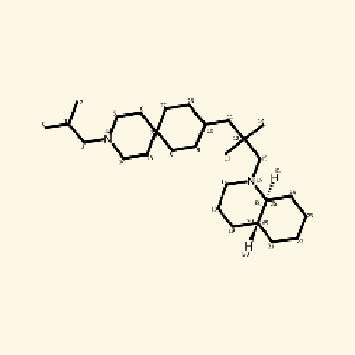 CC(C)CN1CCC2(CCC(CC(C)(C)CN3CCC[C@H]4CCCC[C@@H]43)CC2)CC1